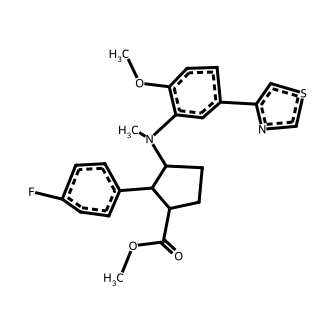 COC(=O)C1CCC(N(C)c2cc(-c3cscn3)ccc2OC)C1c1ccc(F)cc1